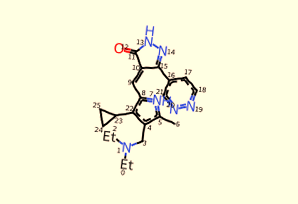 CCN(CC)Cc1c(C)[nH]c(/C=C2/C(=O)NN=C2c2ccnnc2)c1C1CC1